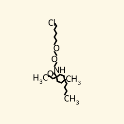 CCCCCC1(C)CCC(CCC)(C(=O)NCCOCCOCCCCCCCl)CC1